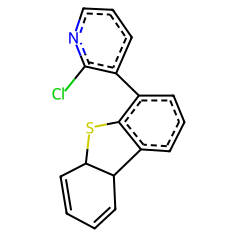 Clc1ncccc1-c1cccc2c1SC1C=CC=CC21